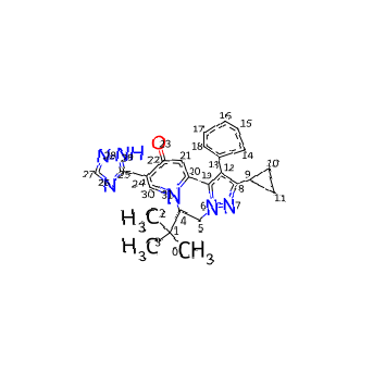 CC(C)(C)C1Cn2nc(C3CC3)c(-c3ccccc3)c2-c2cc(=O)c(-c3ncn[nH]3)cn21